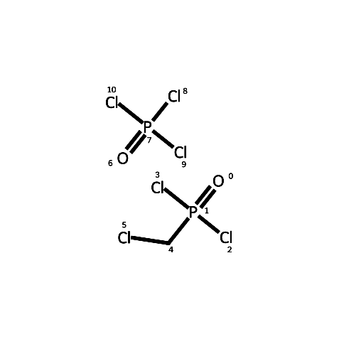 O=P(Cl)(Cl)CCl.O=P(Cl)(Cl)Cl